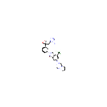 Cn1cnnc1CC1(c2cccc(N3Cc4c(cc(N5CCN6CCC[C@@H]6C5)cc4C(F)(F)F)C3=O)c2)COC1